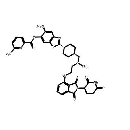 COc1cc2nc([C@H]3CC[C@H](CN(C)CCNc4cccc5c4C(=O)N(C4CCC(=O)NC4=O)C5=O)CC3)sc2cc1NC(=O)c1cccc(C(F)(F)F)n1